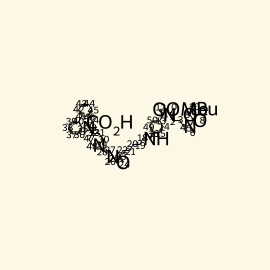 CON(CCCN(C)C(=O)OC(C)(C)C)C(=O)c1ccc(NCCCCCC(=O)N(C)CCN2CCC(N(C(=O)O)c3ccccc3-c3ccccc3)CC2)cc1